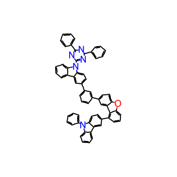 c1ccc(-c2nc(-c3ccccc3)nc(-n3c4ccccc4c4cc(-c5cccc(-c6ccc7oc8cccc(-c9ccc%10c(c9)c9ccccc9n%10-c9ccccc9)c8c7c6)c5)ccc43)n2)cc1